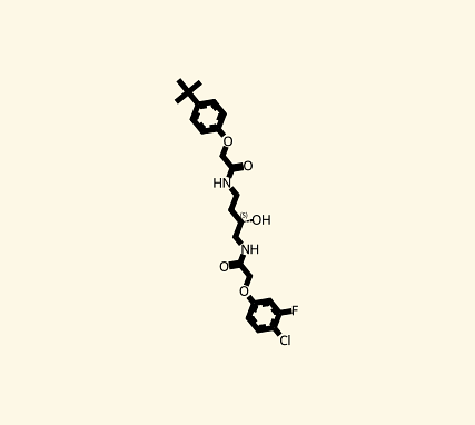 CC(C)(C)c1ccc(OCC(=O)NCC[C@H](O)CNC(=O)COc2ccc(Cl)c(F)c2)cc1